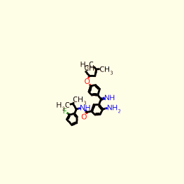 CCC(CC(C)C)Oc1ccc(C(=N)c2cc(C(=O)NC(c3ccccc3F)C(C)C)ccc2N)cc1